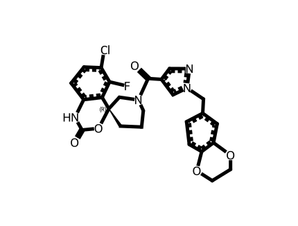 O=C1Nc2ccc(Cl)c(F)c2[C@@]2(CCCN(C(=O)c3cnn(Cc4ccc5c(c4)OCCO5)c3)C2)O1